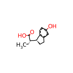 CC[C@H](C(=O)O)[C@@H]1CCc2cc(O)ccc21